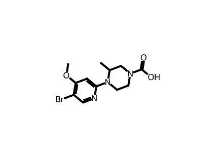 COc1cc(N2CCN(C(=O)O)CC2C)ncc1Br